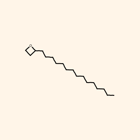 CCCCCCCCCCCCCC[CH]C1CCO1